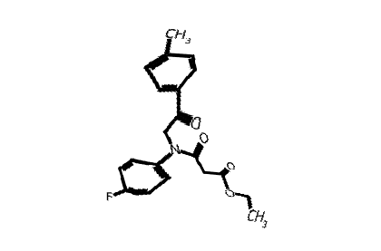 CCOC(=O)CC(=O)N(CC(=O)c1ccc(C)cc1)c1ccc(F)cc1